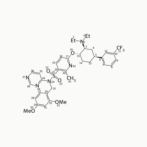 CCN(CC)[C@H]1C[C@@H](c2cccc(C(F)(F)F)c2)CC[C@@H]1Oc1ccc(S(=O)(=O)N(Cc2ccc(OC)cc2OC)c2ccncn2)c(C)n1